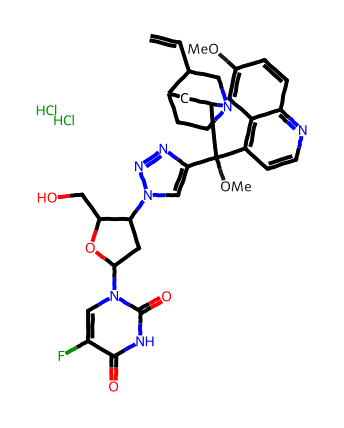 C=CC1CN2CCC1CC2C(OC)(c1cn(C2CC(n3cc(F)c(=O)[nH]c3=O)OC2CO)nn1)c1ccnc2ccc(OC)cc12.Cl.Cl